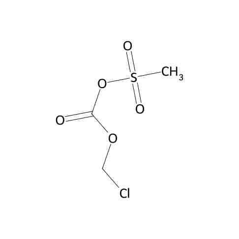 CS(=O)(=O)OC(=O)OCCl